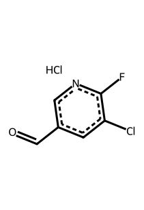 Cl.O=Cc1cnc(F)c(Cl)c1